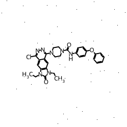 CCn1c(=O)n(CC)c2cc3c(N4CCN(C(=O)Nc5ccc(Oc6ccccc6)cc5)CC4)nnc(Cl)c3cc21